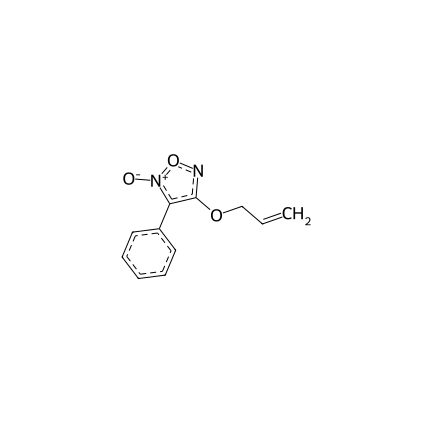 C=CCOc1no[n+]([O-])c1-c1ccccc1